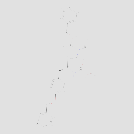 CC[C@H](C)CN(C[C@@H](O)[C@H](Cc1ccc(OCc2ccccc2)cc1)NC(=O)OC(C)(C)C)C(=O)OCc1ccccc1